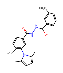 Cc1ccc(C)n1-c1cc(C(=O)NNC(O)c2cccc(C(=O)O)c2)ccc1C(=O)O